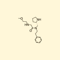 COCCNCC(=O)N(CCc1ccccc1)C[C@@H]1CCCN1